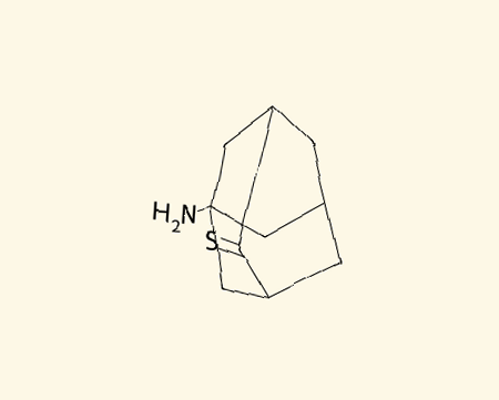 NC12CC3CC(C1)C(=S)C(C3)C2